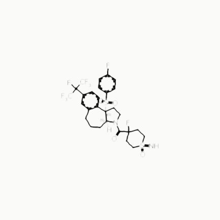 N=S1(=O)CCC(F)(C(=O)N2CC[C@]3(S(=O)(=O)c4ccc(F)cc4)c4ccc(C(F)(C(F)(F)F)C(F)(F)F)cc4CCC[C@H]23)CC1